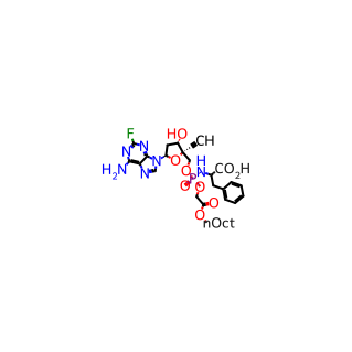 C#C[C@]1(CO[P@@](=O)(NC(Cc2ccccc2)C(=O)O)OCC(=O)OCCCCCCCC)O[C@@H](n2cnc3c(N)nc(F)nc32)C[C@@H]1O